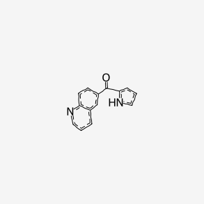 O=C(c1ccc2ncccc2c1)c1ccc[nH]1